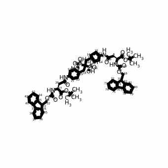 CC(C)(C)OC(=O)[C@H](CC(=O)Nc1ccc(CC(Cc2ccc(NC(=O)C[C@H](NC(=O)OCC3c4ccccc4-c4ccccc43)C(=O)OC(C)(C)C)cc2)(P(=O)(O)O)P(=O)(O)O)cc1)NC(=O)OCC1c2ccccc2-c2ccccc21